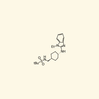 CCn1c(N[C@H]2CC[C@H](CNS(=O)(=O)C(C)(C)C)CC2)nc2ccccc21